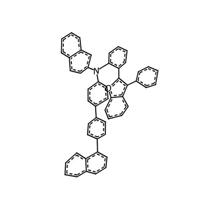 c1ccc(-c2c(-c3ccccc3N(c3ccc(-c4ccc(-c5cccc6ccccc56)cc4)cc3)c3ccc4ccccc4c3)oc3ccccc23)cc1